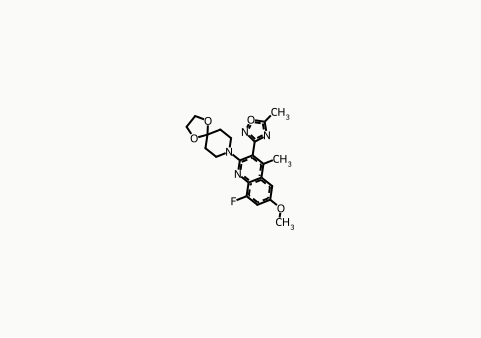 COc1cc(F)c2nc(N3CCC4(CC3)OCCO4)c(-c3noc(C)n3)c(C)c2c1